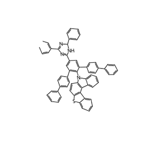 C/C=C\C(=C/C)C1=NC(c2ccccc2)NC(c2cc(-c3ccc(-c4ccccc4)cc3)c(-n3c4ccccc4c4c5c(ccc43)sc3ccccc35)c(-c3ccc(-c4ccccc4)cc3)c2)=N1